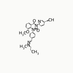 C#Cc1ccc(NC(=O)c2cccc(OC)c2N(C=O)c2ccc(C=NN(C)CCC)cc2)nc1